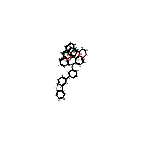 c1cc(-c2ccc3oc4ccccc4c3c2)cc(N(c2ccccc2-c2cccc3cccc(C4CCCCC4)c23)c2cccc3sc4ccccc4c23)c1